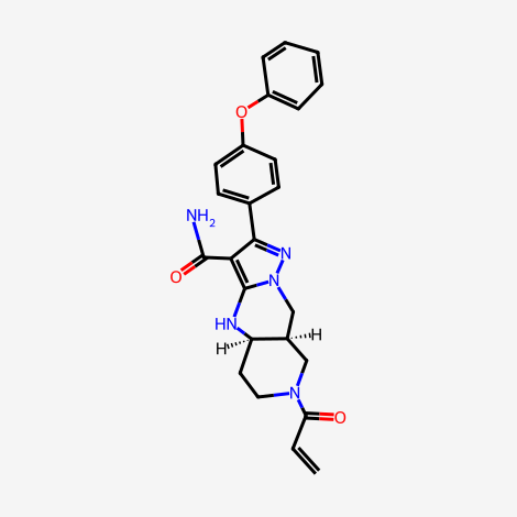 C=CC(=O)N1CC[C@H]2Nc3c(C(N)=O)c(-c4ccc(Oc5ccccc5)cc4)nn3C[C@H]2C1